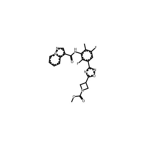 COC(=O)N1CC(c2nc(-c3cc(F)c(C)c(NC(=O)c4cnn5ccccc45)c3F)no2)C1